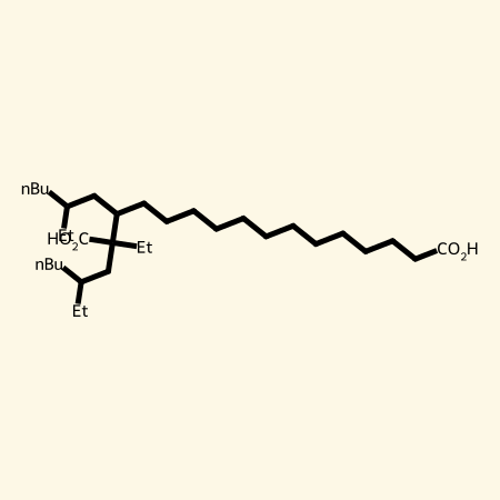 CCCCC(CC)CC(CCCCCCCCCCCCC(=O)O)C(CC)(CC(CC)CCCC)C(=O)O